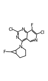 Fc1c(Cl)ncc2c(N3CCCC4C(F)C43)nc(Cl)nc12